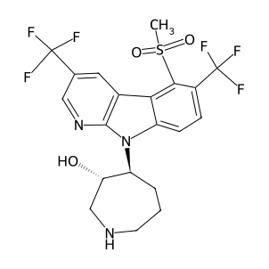 CS(=O)(=O)c1c(C(F)(F)F)ccc2c1c1cc(C(F)(F)F)cnc1n2[C@H]1CCCNC[C@@H]1O